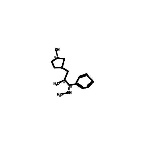 CN[C@@H](c1ccccc1)[C@@H](C)CN1CC[C@H](O)C1